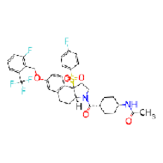 CC(=O)N[C@H]1CC[C@H](C(=O)N2CC[C@@]3(S(=O)(=O)c4ccc(F)cc4)c4ccc(OCc5c(F)cccc5C(F)(F)F)cc4CC[C@@H]23)CC1